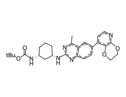 Cc1nc(N[C@H]2CCC[C@@H](NC(=O)OC(C)(C)C)C2)nc2ccc(-c3ccnc4c3OCCO4)cc12